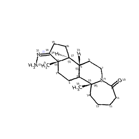 C[C@]12CCC3[C@@H](CCN4C(=O)CCCC[C@]34C)[C@@H]1CC/C2=N/N